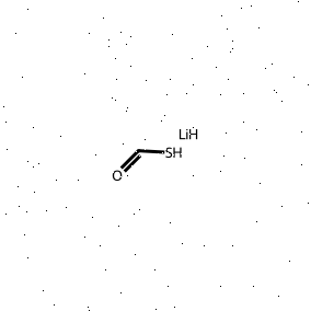 O=CS.[LiH]